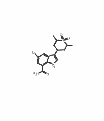 CC1CC(c2c[nH]c3c(C(N)=O)cc(Br)cc23)CC(C)S1(=O)=O